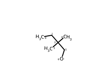 CCC(C)(C)C[O]